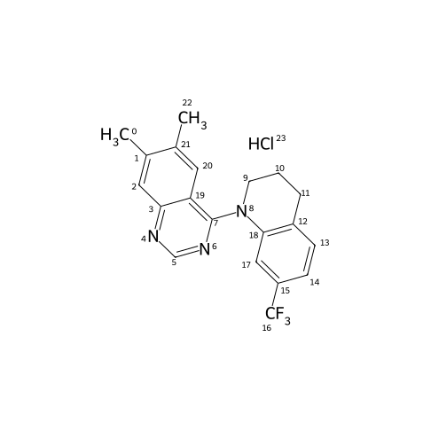 Cc1cc2ncnc(N3CCCc4ccc(C(F)(F)F)cc43)c2cc1C.Cl